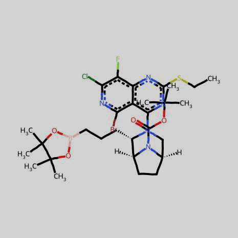 CCSc1nc(N2C[C@H]3CC[C@@H]([C@@H]2CCCB2OC(C)(C)C(C)(C)O2)N3C(=O)OC(C)(C)C)c2c(Br)nc(Cl)c(F)c2n1